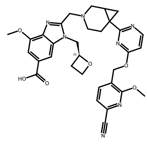 COc1nc(C#N)ccc1COc1ccnc(C23CCN(Cc4nc5c(OC)cc(C(=O)O)cc5n4C[C@@H]4CCO4)CC2C3)n1